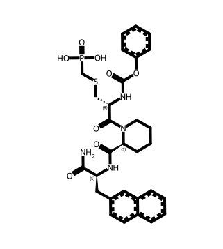 NC(=O)[C@H](Cc1ccc2ccccc2c1)NC(=O)[C@@H]1CCCCN1C(=O)[C@H](CSCP(=O)(O)O)NC(=O)Oc1ccccc1